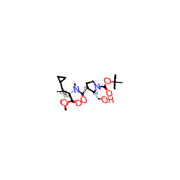 COC(=O)[C@H]([C@@H](C)C1CC1)N(C)C(=O)[C@H]1CCN(C(=O)OC(C)(C)C)[C@@H]1CO